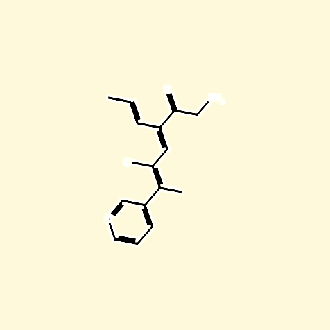 BCC(=O)C(/C=C/C)=C/C(Cl)=C(\C)c1cccnc1